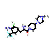 CN1CCN(C2CCN(C(=O)[C@H](N)Cc3cc(Cl)c(N)c(C(F)(F)F)c3)CC2)CC1